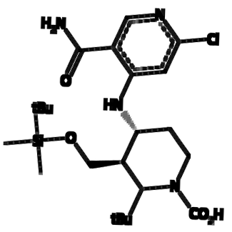 CC(C)(C)C1[C@@H](CO[Si](C)(C)C(C)(C)C)[C@H](Nc2cc(Cl)ncc2C(N)=O)CCN1C(=O)O